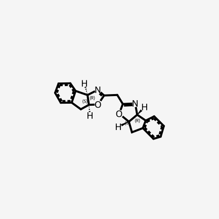 c1ccc2c(c1)C[C@@H]1OC(CC3=N[C@@H]4c5ccccc5C[C@@H]4O3)=N[C@H]21